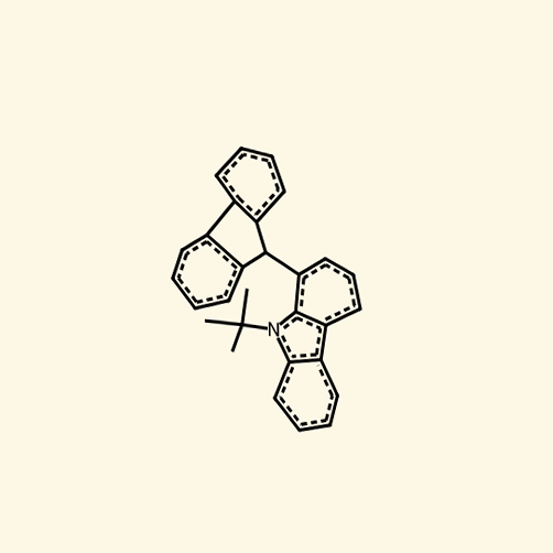 CC(C)(C)n1c2ccccc2c2cccc(C3c4ccccc4-c4ccccc43)c21